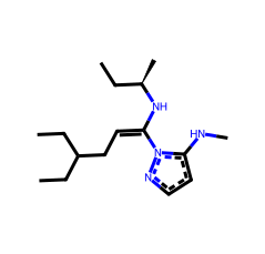 CCC(CC)C/C=C(/N[C@H](C)CC)n1nccc1NC